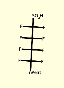 CCCCCC(F)(F)C(F)(F)C(F)(F)C(F)(F)S(=O)(=O)O